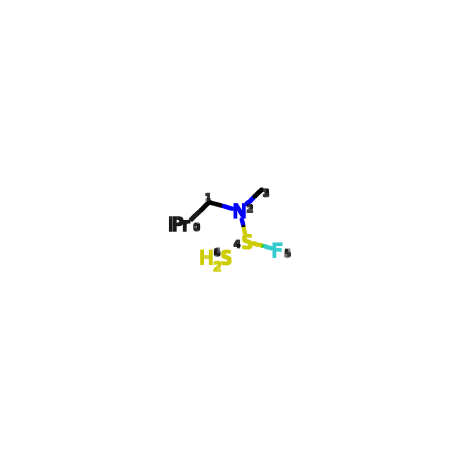 CC(C)CN(C)SF.S